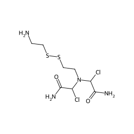 NCCSSCCN(C(Cl)C(N)=O)C(Cl)C(N)=O